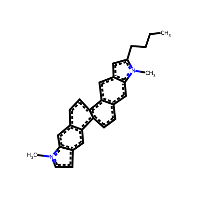 CCCCc1cc2cc3c(ccc4c5cc6ccn(C)c6cc5ccc34)cc2n1C